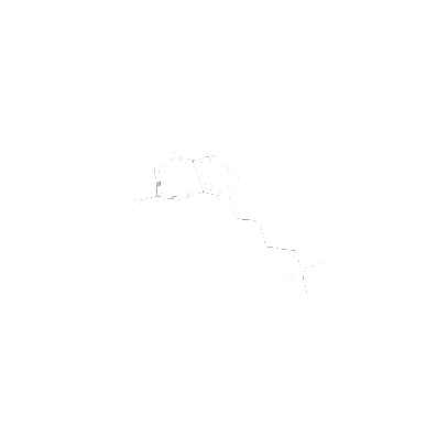 C[Si](C)(C)CCOCn1ncc2ncc(N)cc21